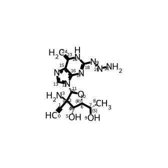 C#C[C@@]1(N)[C@@H](O)[C@@H]([C@H](C)O)O[C@H]1n1cnc2c1N=C(N=NN)NC2=C